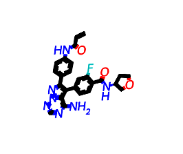 C=CC(=O)Nc1ccc(-c2nn3ncnc(N)c3c2-c2ccc(C(=O)N[C@H]3CCOC3)c(F)c2)cc1